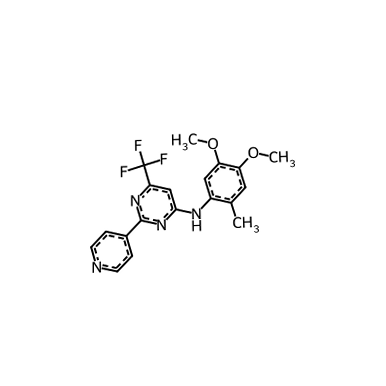 COc1cc(C)c(Nc2cc(C(F)(F)F)nc(-c3ccncc3)n2)cc1OC